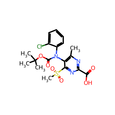 Cc1nc(C(=O)O)nc(S(C)(=O)=O)c1N(C(=O)OC(C)(C)C)c1ccccc1Cl